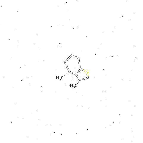 [CH2]c1csc2cccc(C)c12